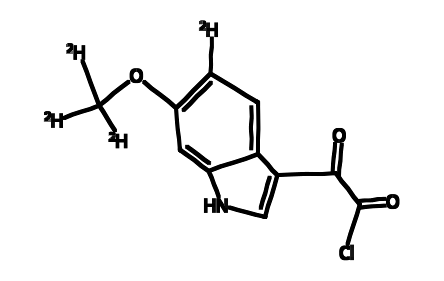 [2H]c1cc2c(C(=O)C(=O)Cl)c[nH]c2cc1OC([2H])([2H])[2H]